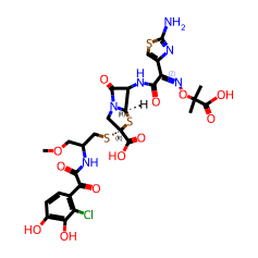 COCC(CS[C@]1(C(=O)O)CN2C(=O)C(NC(=O)/C(=N\OC(C)(C)C(=O)O)c3csc(N)n3)[C@H]2S1)NC(=O)C(=O)c1ccc(O)c(O)c1Cl